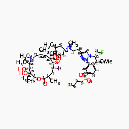 CC[C@H]1OC(=O)[C@H](C)C[C@H](I)[C@@H](O[C@H]2C[C@@H](N(C)CCc3cn([C@H](CF)[C@H](OC)c4ccc(S(=O)(=O)CCCF)cc4)nn3)C[C@@H](C)O2)[C@](C)(O)C[C@@H](C)CN(C)[C@H](C)[C@@H](O)[C@]1(C)O